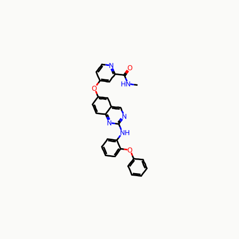 CNC(=O)c1cc(Oc2ccc3nc(Nc4ccccc4Oc4ccccc4)ncc3c2)ccn1